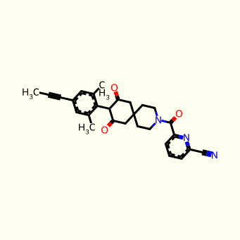 CC#Cc1cc(C)c(C2C(=O)CC3(CCN(C(=O)c4cccc(C#N)n4)CC3)CC2=O)c(C)c1